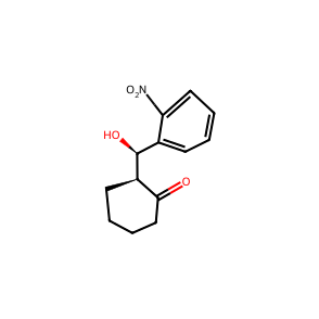 O=C1CCCC[C@H]1[C@@H](O)c1ccccc1[N+](=O)[O-]